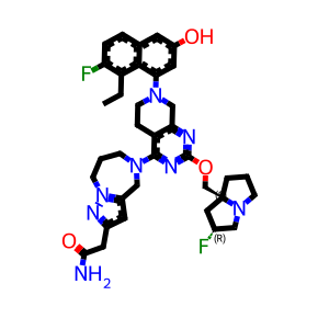 CCc1c(F)ccc2cc(O)cc(N3CCc4c(nc(OC[C@@]56CCCN5C[C@H](F)C6)nc4N4CCCn5nc(CC(N)=O)cc5C4)C3)c12